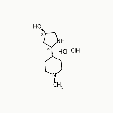 CN1CCC([C@@H]2C[C@@H](O)CN2)CC1.Cl.Cl